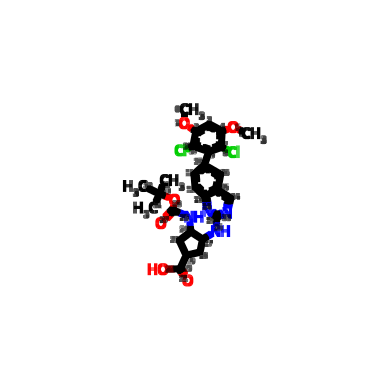 COc1cc(OC)c(Cl)c(-c2ccc3nc(NC4CC(C(=O)O)CC4NC(=O)OC(C)(C)C)ncc3c2)c1Cl